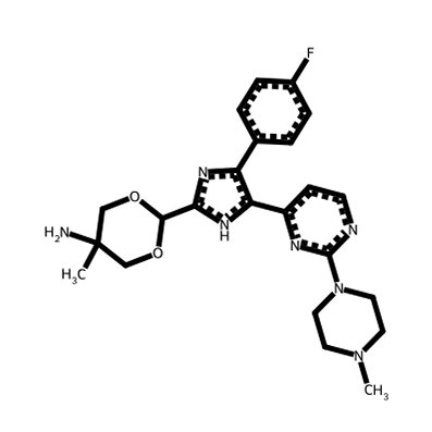 CN1CCN(c2nccc(-c3[nH]c(C4OCC(C)(N)CO4)nc3-c3ccc(F)cc3)n2)CC1